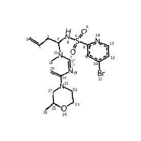 C=CCC(NS(=O)(=O)c1cc(Br)ccn1)N(C)/C=N\C(=C)N1CCOC(C)C1